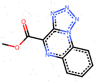 COC(=O)c1nc2ccccc2n2nnnc12